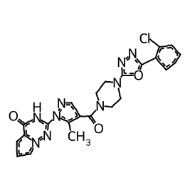 Cc1c(C(=O)N2CCN(c3nnc(-c4ccccc4Cl)o3)CC2)cnn1-c1nn2cccc2c(=O)[nH]1